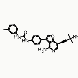 Cc1cccc(NC(=O)Nc2ccc(-c3coc4c(C#CC(C)(C)N)cnc(N)c34)cc2)c1